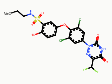 COCCNS(=O)(=O)c1cc(Oc2c(Cl)cc(-n3nc(C(F)F)c(=O)[nH]c3=O)cc2Cl)ccc1O